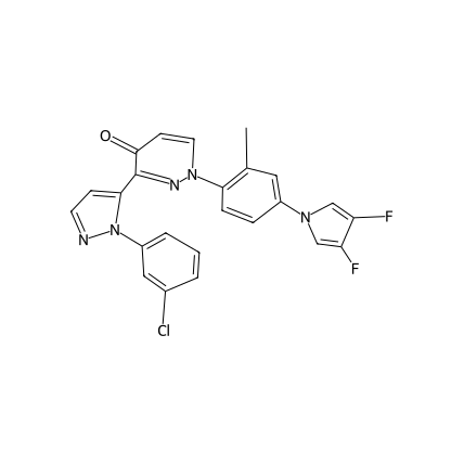 Cc1cc(-n2cc(F)c(F)c2)ccc1-n1ccc(=O)c(-c2ccnn2-c2cccc(Cl)c2)n1